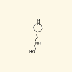 C1CCCNCCC1.CCCNCCO